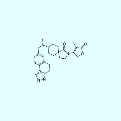 CC1=C(N2CCC3(CCC(N(C)Cc4ccc5c(c4)CCc4nnnn4-5)CC3)C2=O)COC1=O